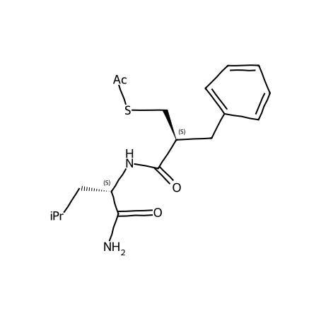 CC(=O)SC[C@@H](Cc1ccccc1)C(=O)N[C@@H](CC(C)C)C(N)=O